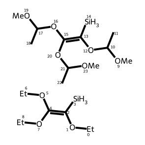 CCOC([SiH3])=C(OCC)OCC.COC(C)OC([SiH3])=C(OC(C)OC)OC(C)OC